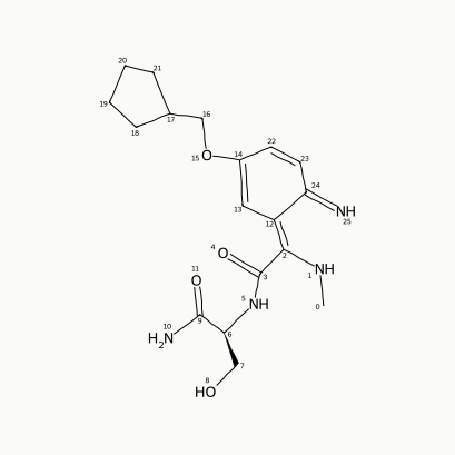 CN/C(C(=O)N[C@@H](CO)C(N)=O)=C1/C=C(OCC2CCCC2)C=CC1=N